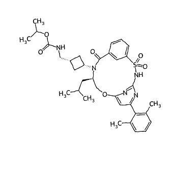 Cc1cccc(C)c1-c1cc2nc(n1)NS(=O)(=O)c1cccc(c1)C(=O)N([C@H]1C[C@@H](CNC(=O)OC(C)C)C1)[C@H](CC(C)C)CO2